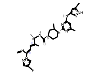 C=N/C(=C\C=C(/C)[C@H](C)NC(=O)[C@@H]1CC[C@@H](c2nc(C)cc(Nc3cc(C)[nH]n3)n2)C(C)C1)n1cc(F)cn1